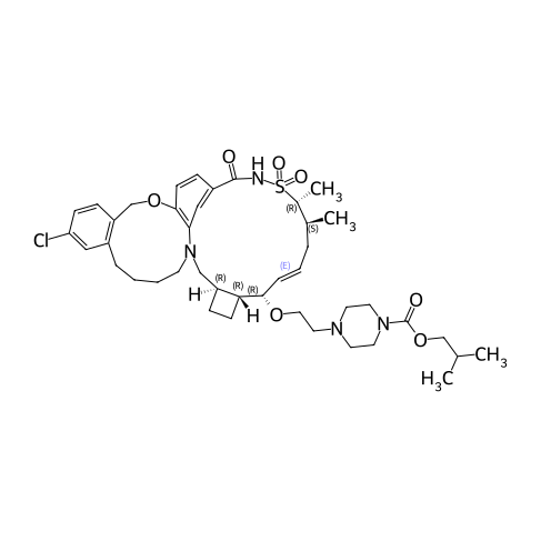 CC(C)COC(=O)N1CCN(CCO[C@H]2/C=C/C[C@H](C)[C@@H](C)S(=O)(=O)NC(=O)c3ccc4c(c3)N(CCCCc3cc(Cl)ccc3CO4)C[C@@H]3CC[C@H]32)CC1